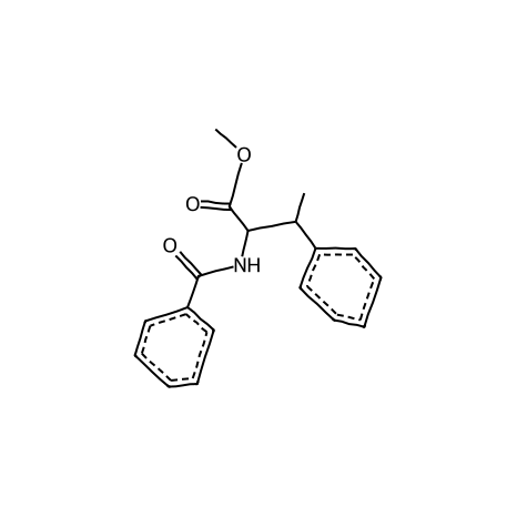 COC(=O)C(NC(=O)c1ccccc1)C(C)c1ccccc1